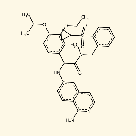 CCOc1cc(C(Nc2ccc3c(N)nccc3c2)C(=O)N(C)Cc2ccccc2S(=O)(=O)C2CC2)ccc1OC(C)C